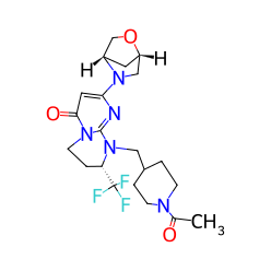 CC(=O)N1CCC(CN2c3nc(N4C[C@@H]5C[C@H]4CO5)cc(=O)n3CC[C@H]2C(F)(F)F)CC1